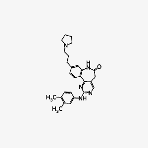 Cc1ccc(Nc2ncc3c(n2)-c2ccc(CCCN4CCCC4)cc2NC(=O)C3)cc1C